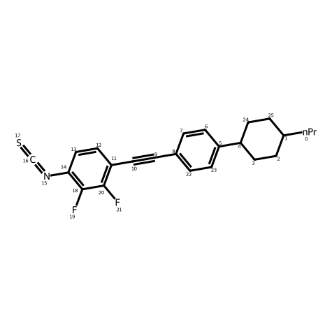 CCCC1CCC(c2ccc(C#Cc3ccc(N=C=S)c(F)c3F)cc2)CC1